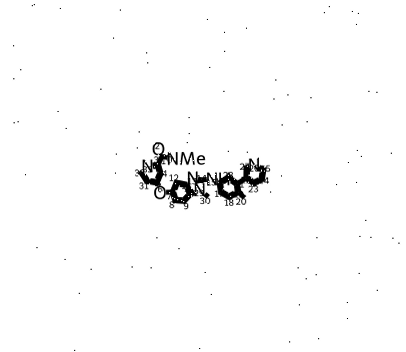 CNC(=O)c1cc(Oc2ccc3c(c2)nc(Nc2ccc(C)c(-c4cccnc4)c2)n3C)ccn1